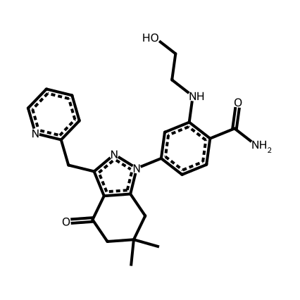 CC1(C)CC(=O)c2c(Cc3ccccn3)nn(-c3ccc(C(N)=O)c(NCCO)c3)c2C1